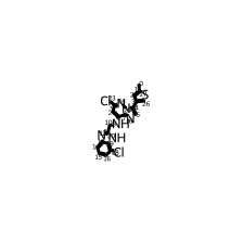 Cc1cc(-c2cnc3c(NCc4nc5cccc(Cl)c5[nH]4)cc(Cl)nn23)cs1